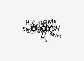 CCOc1cc(C)c(Oc2nc(C)cc(NC(CO)CCSC)c2C(=O)OC)c(C)c1